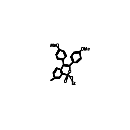 CCOP1(=O)OC(c2ccc(OC)cc2)=C(c2ccc(OC)cc2)c2ccc(C)cc21